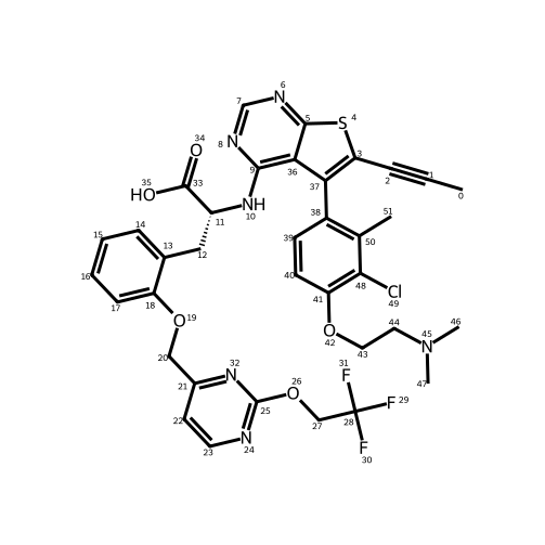 CC#Cc1sc2ncnc(N[C@H](Cc3ccccc3OCc3ccnc(OCC(F)(F)F)n3)C(=O)O)c2c1-c1ccc(OCCN(C)C)c(Cl)c1C